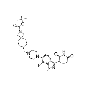 Cn1nc(C2CCC(=O)NC2=O)c2ccc(N3CCN(CC4CCC5(CC4)CN(C(=O)OC(C)(C)C)C5)CC3)c(F)c21